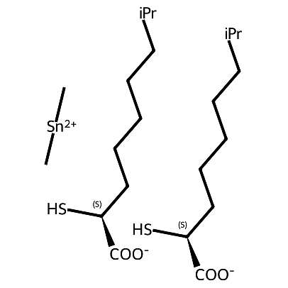 CC(C)CCCCC[C@H](S)C(=O)[O-].CC(C)CCCCC[C@H](S)C(=O)[O-].[CH3][Sn+2][CH3]